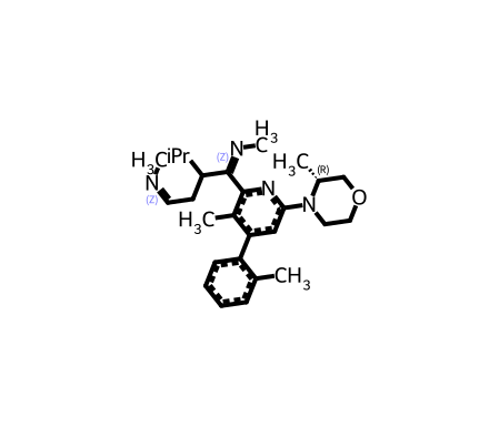 C/N=C\CC(/C(=N/C)c1nc(N2CCOC[C@H]2C)cc(-c2ccccc2C)c1C)C(C)C